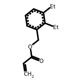 C=CC(=O)OCc1cccc(CC)c1CC